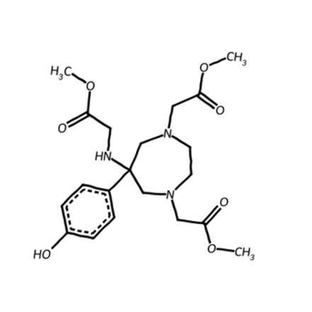 COC(=O)CNC1(c2ccc(O)cc2)CN(CC(=O)OC)CCN(CC(=O)OC)C1